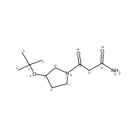 CC(C)(C)OC1CCN(C(=O)CC(N)=O)C1